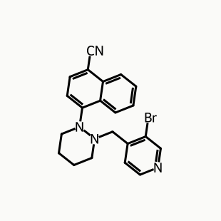 N#Cc1ccc(N2CCCCN2Cc2ccncc2Br)c2ccccc12